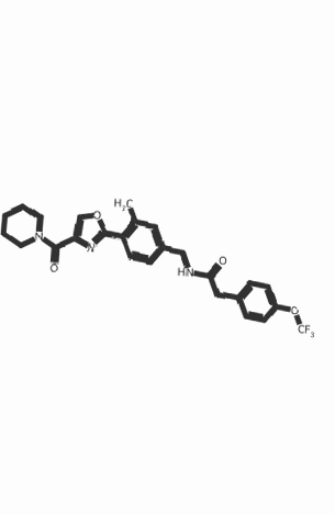 Cc1cc(CNC(=O)Cc2ccc(OC(F)(F)F)cc2)ccc1-c1nc(C(=O)N2CCCCC2)co1